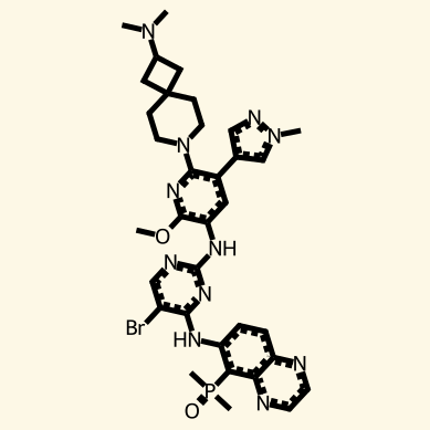 COc1nc(N2CCC3(CC2)CC(N(C)C)C3)c(-c2cnn(C)c2)cc1Nc1ncc(Br)c(Nc2ccc3nccnc3c2P(C)(C)=O)n1